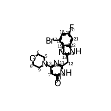 O=c1cc(N2CCOCC2)nc(Cc2nc3c(Br)cc(F)cc3[nH]2)[nH]1